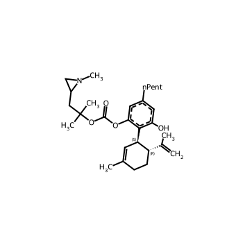 C=C(C)[C@@H]1CCC(C)=C[C@H]1c1c(O)cc(CCCCC)cc1OC(=O)OC(C)(C)CC1CN1C